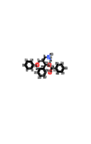 CN(C)CC(COc1ccccc1)C(OC(=O)c1ccccc1)c1ccccc1